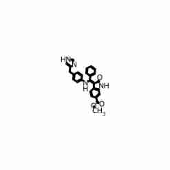 COC(=O)c1ccc2c(c1)NC(=O)C2=C(Nc1ccc(Cc2c[nH]cn2)cc1)c1ccccc1